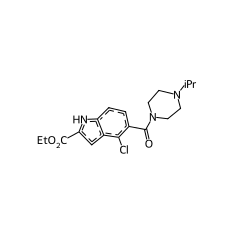 CCOC(=O)c1cc2c(Cl)c(C(=O)N3CCN(C(C)C)CC3)ccc2[nH]1